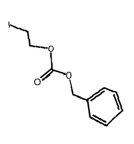 O=C(OCCI)OCc1ccccc1